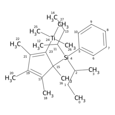 CCC(C)[Si](c1ccccc1)(C(C)CC)C1(C)C(C)=C(C)C(C)=[C]1[Ti]([CH3])([CH3])[CH3]